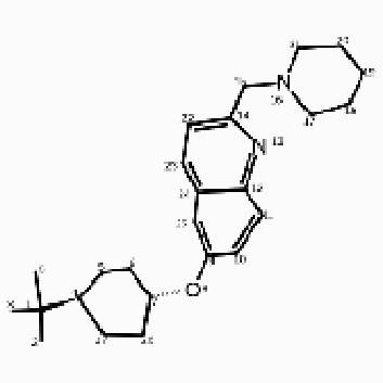 CC(C)(C)[C@H]1CC[C@H](Oc2ccc3nc(CN4CCCCC4)ccc3c2)CC1